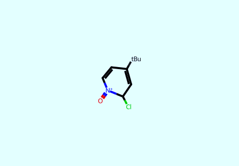 CC(C)(C)C1=CC(Cl)[N+](=O)C=C1